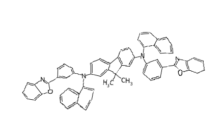 CC1(C)c2cc(N(c3cccc(-c4nc5c(o4)CCC=C5)c3)c3cccc4ccccc34)ccc2-c2ccc(N(c3cccc(-c4nc5ccccc5o4)c3)c3cccc4ccccc34)cc21